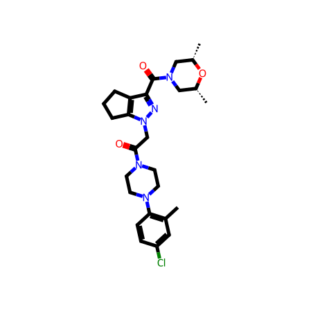 Cc1cc(Cl)ccc1N1CCN(C(=O)Cn2nc(C(=O)N3C[C@@H](C)O[C@@H](C)C3)c3c2CCC3)CC1